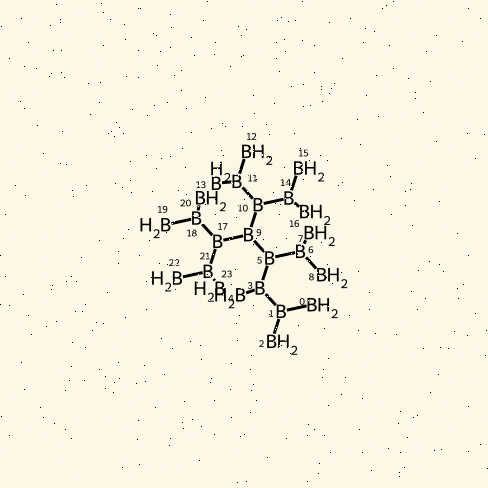 BB(B)B(B)B(B(B)B)B(B(B(B)B)B(B)B)B(B(B)B)B(B)B